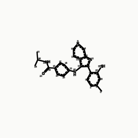 Cc1ccc(-c2nc3cnccn3c2Nc2ccc(C(=O)NC(C)C)cc2)c(S)c1